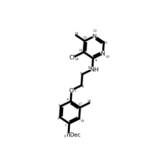 CCCCCCCCCCc1ccc(OCCNc2ncnc(C)c2Cl)c(C)c1